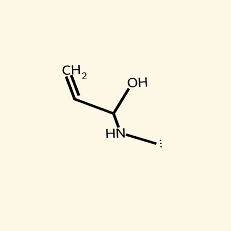 [C]NC(O)C=C